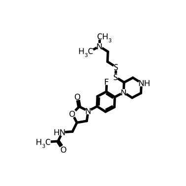 CC(=O)NCC1CN(c2ccc(N3CCNCC3SSCCN(C)C)c(F)c2)C(=O)O1